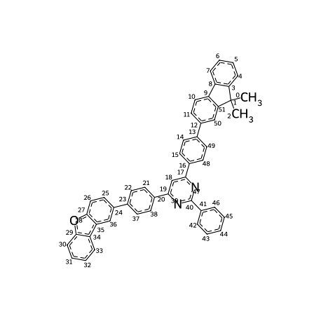 CC1(C)c2ccccc2-c2ccc(-c3ccc(-c4cc(-c5ccc(-c6ccc7oc8ccccc8c7c6)cc5)nc(-c5ccccc5)n4)cc3)cc21